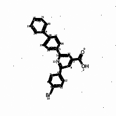 O=C(O)c1cc(-c2ccc(Br)cc2)nc(-c2ccc(-c3ccccc3)cc2)c1